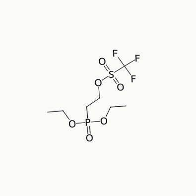 CCOP(=O)(CCOS(=O)(=O)C(F)(F)F)OCC